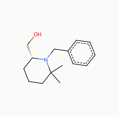 CC1(C)CCC[C@H](CO)N1Cc1ccccc1